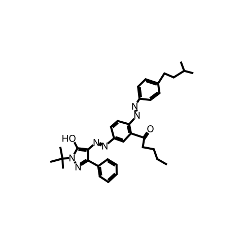 CCCCC(=O)c1cc(/N=N/c2c(-c3ccccc3)nn(C(C)(C)C)c2O)ccc1/N=N/c1ccc(CCC(C)C)cc1